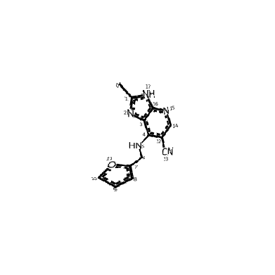 Cc1nc2c(NCc3ccco3)c(C#N)cnc2[nH]1